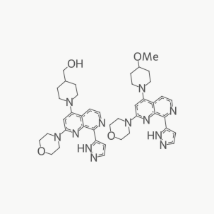 COC1CCN(c2cc(N3CCOCC3)nc3c(-c4ccn[nH]4)nccc23)CC1.OCC1CCN(c2cc(N3CCOCC3)nc3c(-c4ccn[nH]4)nccc23)CC1